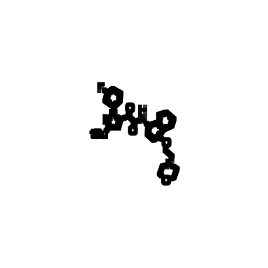 CC(C)(C)c1cc(C(=O)C(=O)Nc2ccc(OCCN3CCOCC3)c3ccccc23)n(-c2cccc(F)c2)n1